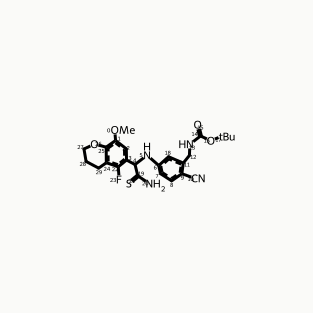 COc1cc(C(Nc2ccc(C#N)c(CNC(=O)OC(C)(C)C)c2)C(N)=S)c(F)c2c1OCCC2